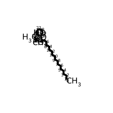 CCCCCCCCCCCCCCCCCC(=O)O[Si]1(O[SiH](C)C)CCCCO1